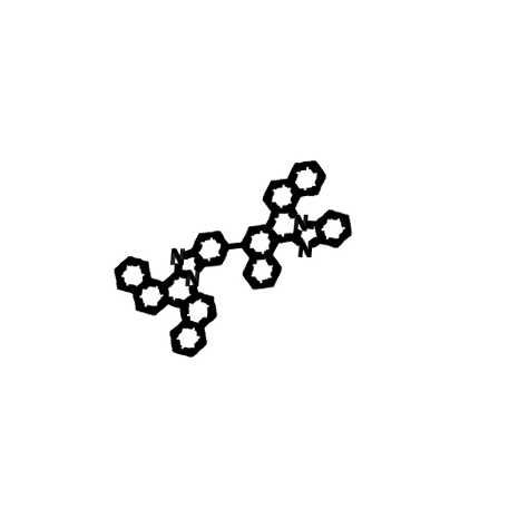 c1ccc2c(c1)ccc1c2c2ccc3ccccc3c2c2nc3ccc(-c4cc5c6ccc7ccccc7c6n6c7ccccc7nc6c5c5ccccc45)cc3n12